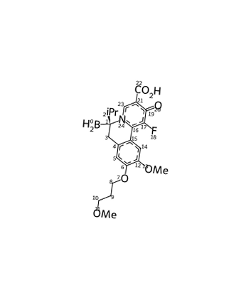 B[C@@]1(C(C)C)Cc2cc(OCCCOC)c(OC)cc2-c2c(F)c(=O)c(C(=O)O)cn21